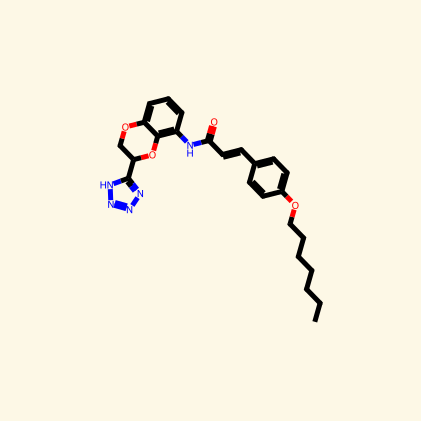 CCCCCCCOc1ccc(C=CC(=O)Nc2cccc3c2OC(c2nnn[nH]2)CO3)cc1